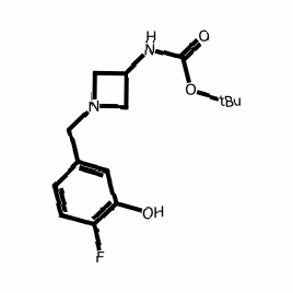 CC(C)(C)OC(=O)NC1CN(Cc2ccc(F)c(O)c2)C1